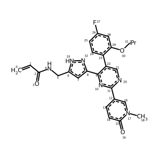 C=CC(=O)NCc1cc(-c2nc(-c3ccc(=O)n(C)c3)ncc2-c2ccc(F)cc2OC(C)C)n[nH]1